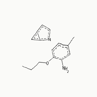 CCCOc1ccc(C)cc1N.c1cc2cc-2n1